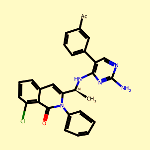 CC(=O)c1cccc(-c2cnc(N)nc2N[C@@H](C)c2cc3cccc(Cl)c3c(=O)n2-c2ccccc2)c1